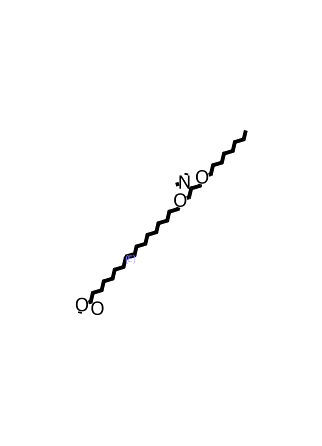 CCCCCCCCOCC(COCCCCCCCC/C=C/CCCCCCC(=O)OC)N(C)C